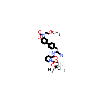 COCCn1c(=O)oc2ccc(-c3ccc(C[C@@H](C#N)NC(=O)C4CCCCN4C(=O)OC(C)(C)C)cc3)cc21